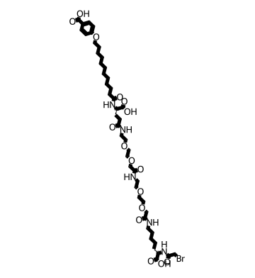 O=C(CC[C@H](NC(=O)CCCCCCCCCCCOc1ccc(C(=O)O)cc1)C(=O)O)NCCOCCOCC(=O)NCCOCCOCC(=O)NCCCCC[C@H](NC(=O)CBr)C(=O)O